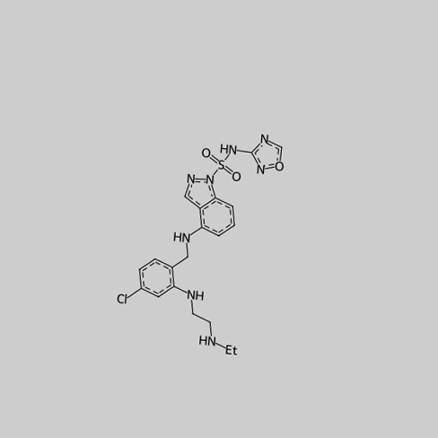 CCNCCNc1cc(Cl)ccc1CNc1cccc2c1cnn2S(=O)(=O)Nc1ncon1